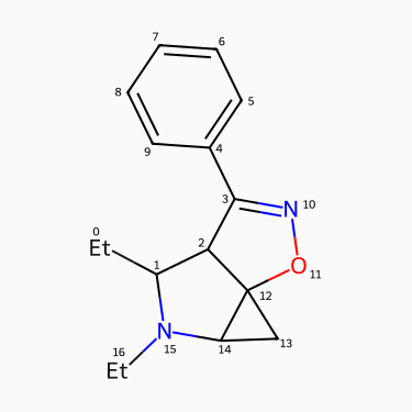 CCC1C2C(c3ccccc3)=NOC23CC3N1CC